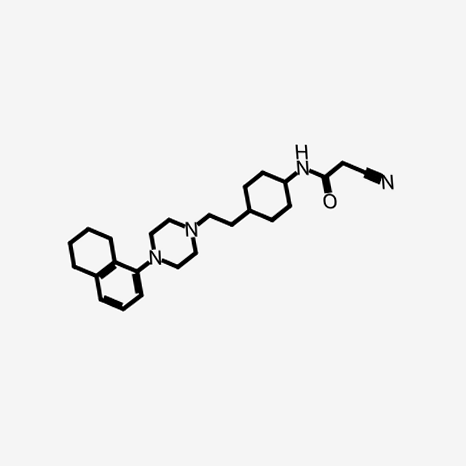 N#CCC(=O)NC1CCC(CCN2CCN(c3cccc4c3CCCC4)CC2)CC1